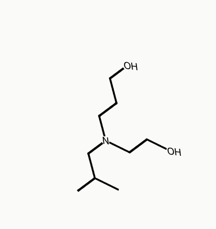 CC(C)CN(CCO)CCCO